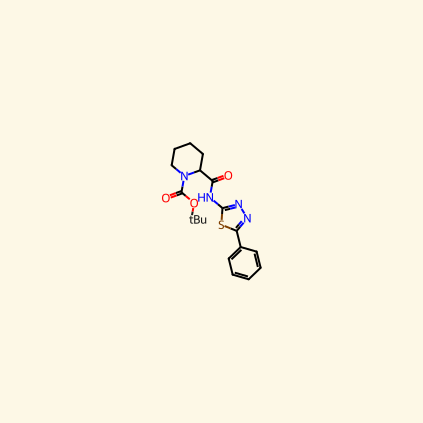 CC(C)(C)OC(=O)N1CCCCC1C(=O)Nc1nnc(-c2ccccc2)s1